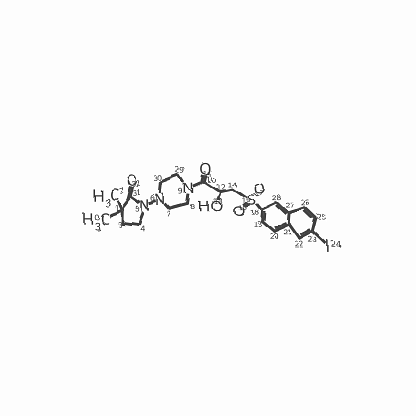 CC1(C)CCN(N2CCN(C(=O)[C@H](O)CS(=O)(=O)c3ccc4cc(I)ccc4c3)CC2)C1=O